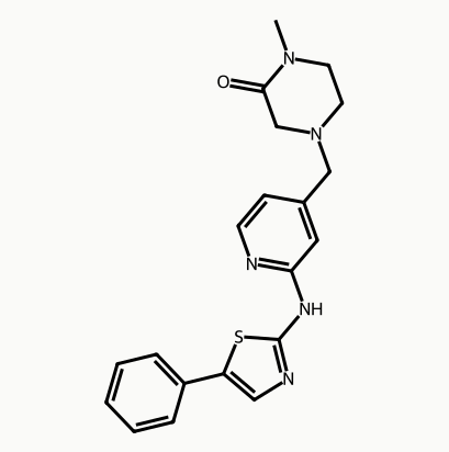 CN1CCN(Cc2ccnc(Nc3ncc(-c4ccccc4)s3)c2)CC1=O